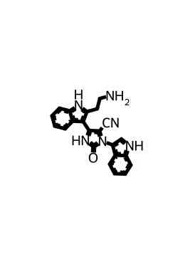 N#Cc1c(-c2c(CCN)[nH]c3ccccc23)[nH]c(=O)n1-c1c[nH]c2ccccc12